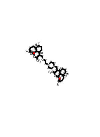 C[C@@H]1CC[C@H]2C(COCCN3CCN(CC4=C(C(F)(F)F)O[C@@H]5O[C@]6(C)CC[C@H]7[C@H](C)CC[C@@H]4[C@@]57OO6)CC3)=C(C(F)(F)F)O[C@@H]3O[C@]4(C)CC[C@@H]1[C@]32OO4